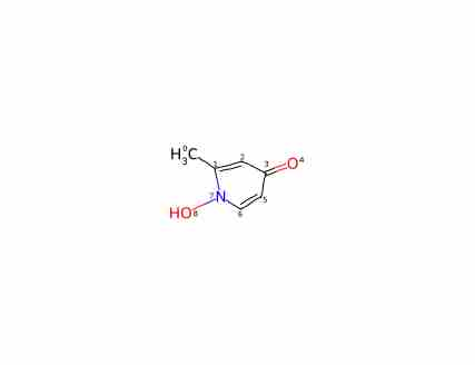 Cc1cc(=O)ccn1O